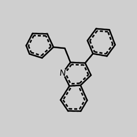 c1ccc(Cc2nc3ccccc3cc2-c2ccccc2)cc1